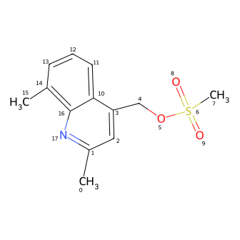 Cc1cc(COS(C)(=O)=O)c2cccc(C)c2n1